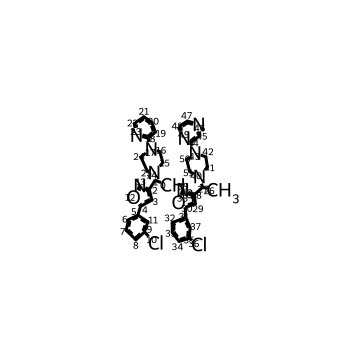 CC(c1cc(-c2cccc(Cl)c2)on1)N1CCN(c2ccccn2)CC1.CC(c1cc(-c2cccc(Cl)c2)on1)N1CCN(c2cnccn2)CC1